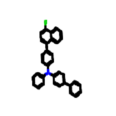 Clc1ccc(-c2ccc(N(c3ccccc3)c3ccc(-c4ccccc4)cc3)cc2)c2ccccc12